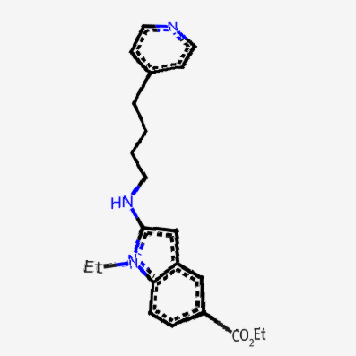 CCOC(=O)c1ccc2c(c1)cc(NCCCCc1ccncc1)n2CC